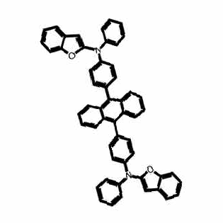 c1ccc(N(c2ccc(-c3c4ccccc4c(-c4ccc(N(c5ccccc5)c5cc6ccccc6o5)cc4)c4ccccc34)cc2)c2cc3ccccc3o2)cc1